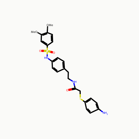 COc1ccc(S(=O)(=O)Nc2ccc(CCNC(=O)CSc3ccc(N)cc3)cc2)cc1OC